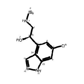 CC(C)(C)NC[C@H](O)c1cc(Cl)cc2[nH]ncc12